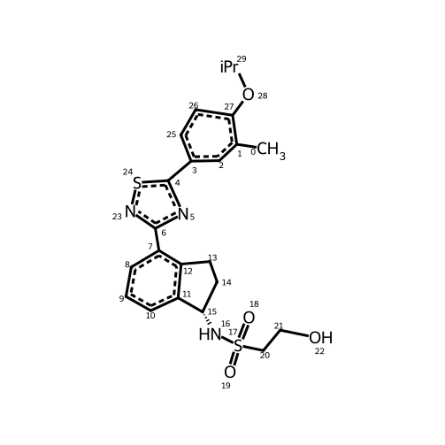 Cc1cc(-c2nc(-c3cccc4c3CC[C@@H]4NS(=O)(=O)CCO)ns2)ccc1OC(C)C